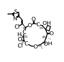 Cc1nc(C=C(Cl)[C@@H]2C[C@@H]3O[C@]3(Cl)CCO[C@@H](C)[C@@H](O)[C@@H](C)C(=O)C3(CCC3)[C@@H](O)CC(=O)O2)cs1